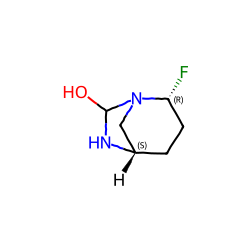 OC1N[C@H]2CC[C@@H](F)N1C2